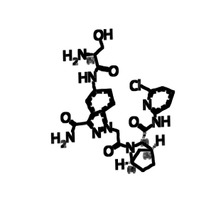 NC(=O)c1nn(CC(=O)N2[C@@H]3CC[C@@H](C3)[C@H]2C(=O)Nc2cccc(Cl)n2)c2ccc(NC(=O)[C@@H](N)CO)cc12